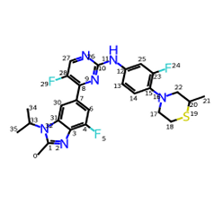 Cc1nc2c(F)cc(-c3nc(Nc4ccc(N5CCSC(C)C5)c(F)c4)ncc3F)cc2n1C(C)C